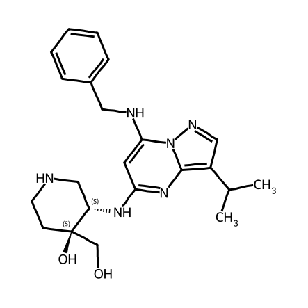 CC(C)c1cnn2c(NCc3ccccc3)cc(N[C@H]3CNCC[C@@]3(O)CO)nc12